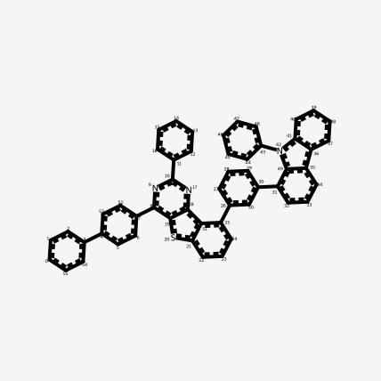 c1ccc(-c2ccc(-c3nc(-c4ccccc4)nc4c3sc3cccc(-c5cccc(-c6cccc7c8ccccc8n(-c8ccccc8)c67)c5)c34)cc2)cc1